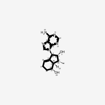 C[C@H]1[C@@H](O)[C@H](n2cnc3c(N)ncnc32)C2=CCC[C@@H](O)[C@@H]21